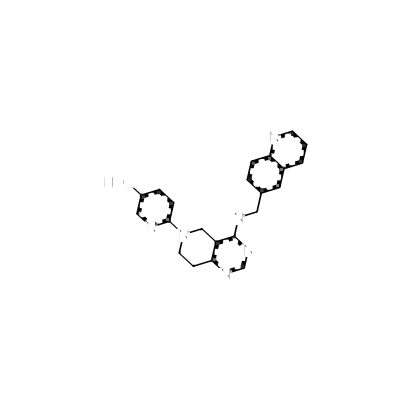 Cc1ccc(N2CCc3ncnc(NCc4ccc5ncccc5c4)c3C2)nc1